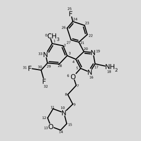 Cc1cc(-c2c(OCCCN3CCOCC3)nc(N)nc2-c2ccc(F)cc2)cc(C(F)F)n1